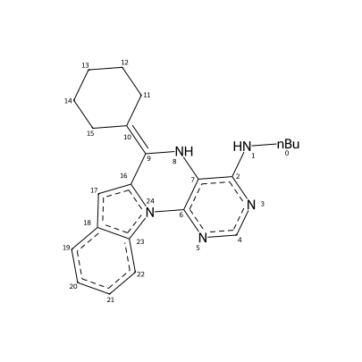 CCCCNc1ncnc2c1NC(=C1CCCCC1)c1cc3ccccc3n1-2